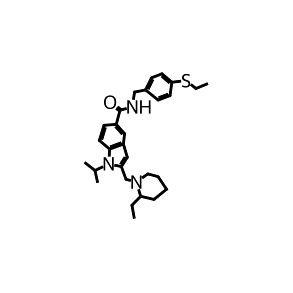 CCSc1ccc(CNC(=O)c2ccc3c(c2)cc(CN2CCCCC2CC)n3C(C)C)cc1